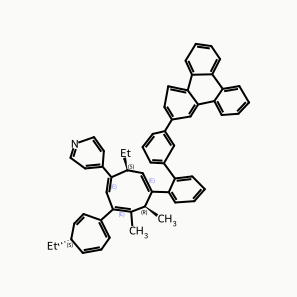 CC[C@H]1C=CC=C(C2=C(\C)[C@H](C)/C(c3ccccc3-c3cccc(-c4ccc5c6ccccc6c6ccccc6c5c4)c3)=C\[C@H](CC)/C(c3ccncc3)=C\2)C=C1